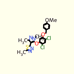 COc1ccc(COc2cc(Oc3c(-c4nnc(C)s4)c(C)nn3C)c(Cl)cc2Cl)cc1